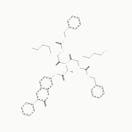 C[C@@H](C(=O)Nc1ccc2cc(-c3ccccc3)c(=O)oc2c1)N(C(=O)[C@H](CCCCN)NC(=O)OCc1ccccc1)C(=O)[C@H](CCCCN)NC(=O)OCc1ccccc1